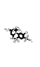 CC(C)CC1NS(=O)(=O)c2cc(S(N)(=O)=O)c(Cl)cc2N1C(C)(C)C